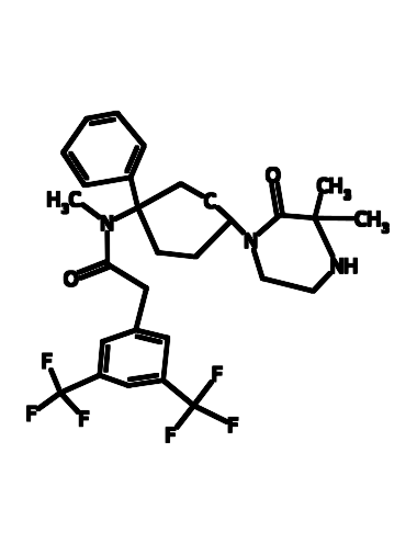 CN(C(=O)Cc1cc(C(F)(F)F)cc(C(F)(F)F)c1)C1(c2ccccc2)CCC(N2CCNC(C)(C)C2=O)CC1